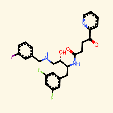 O=C(CCC(=O)c1ccccn1)N[C@@H](Cc1cc(F)cc(F)c1)[C@@H](O)CNCc1cccc(I)c1